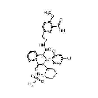 COc1ccc(CONC(=O)[C@@H]2c3ccccc3C(=O)N([C@H]3CCCC[C@@H]3NS(C)(=O)=O)[C@H]2c2ccc(Cl)cc2Cl)cc1C(=O)O